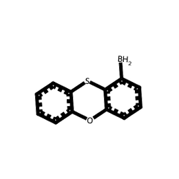 Bc1cccc2c1Sc1ccccc1O2